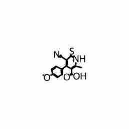 COc1ccc(-c2c(C(=O)O)c(C)[nH]c(=S)c2C#N)cc1